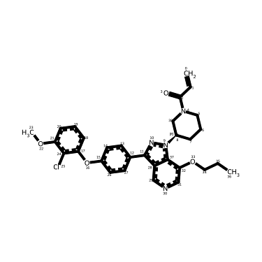 C=CC(=O)N1CCC[C@@H](n2nc(-c3ccc(Oc4cccc(OC)c4Cl)cc3)c3cncc(OCCC)c32)C1